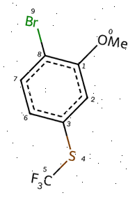 COc1cc(SC(F)(F)F)ccc1Br